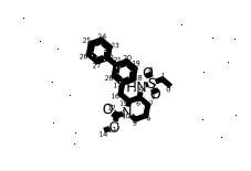 CCS(=O)(=O)NC1CCCN(C(=O)OC)C1Cc1cccc(-c2ccccc2)c1